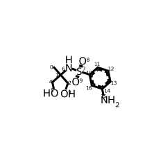 CC(CO)(CO)NS(=O)(=O)c1cccc(N)c1